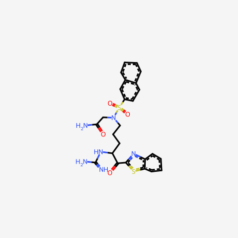 N=C(N)NC(CCCN(CC(N)=O)S(=O)(=O)c1ccc2ccccc2c1)C(=O)c1nc2ccccc2s1